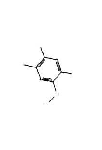 Cc1cc(S(=O)(=O)O)c(NC(C)C)cc1Cl